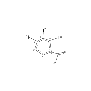 C=C(C)c1ccc(I)c(I)c1I